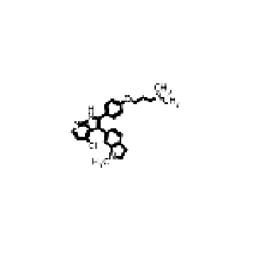 CN(C)CCCOc1ccc(-c2[nH]c3nccc(Cl)c3c2-c2ccc3c(c2)N(C)CC3)cc1